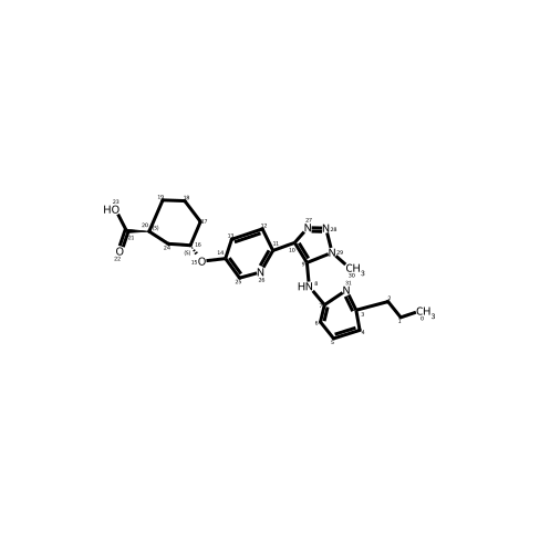 CCCc1cccc(Nc2c(-c3ccc(O[C@H]4CCC[C@H](C(=O)O)C4)cn3)nnn2C)n1